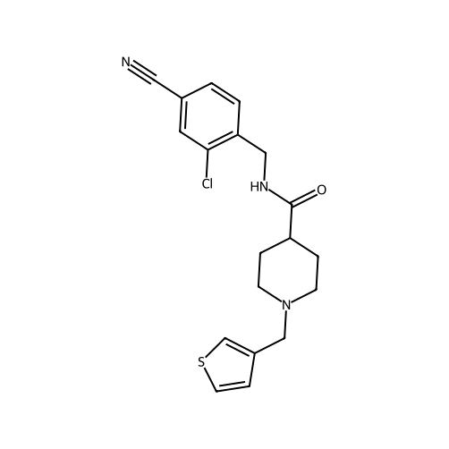 N#Cc1ccc(CNC(=O)C2CCN(Cc3ccsc3)CC2)c(Cl)c1